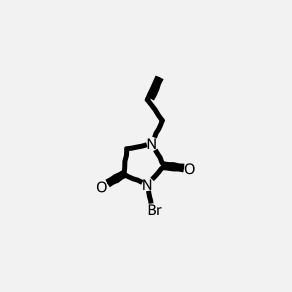 C=CCN1CC(=O)N(Br)C1=O